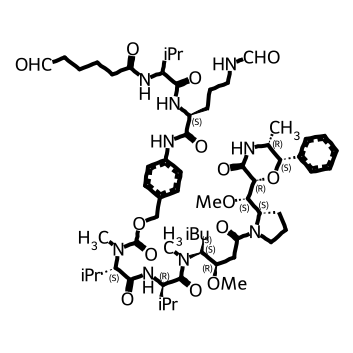 CC[C@H](C)[C@@H]([C@@H](CC(=O)N1CCC[C@H]1[C@H](OC)[C@H]1O[C@@H](c2ccccc2)[C@@H](C)NC1=O)OC)N(C)C(=O)[C@H](NC(=O)[C@H](C(C)C)N(C)C(=O)OCc1ccc(NC(=O)[C@H](CCCNC=O)NC(=O)C(NC(=O)CCCCC=O)C(C)C)cc1)C(C)C